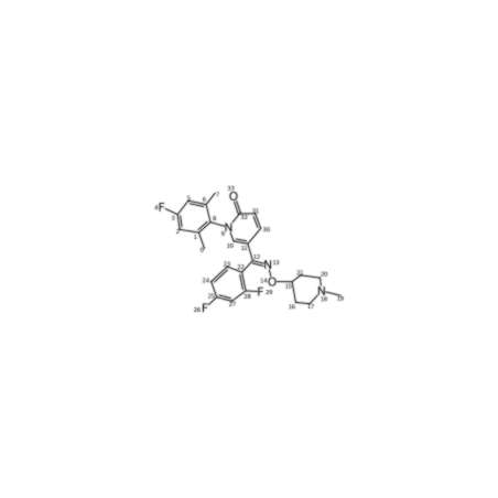 Cc1cc(F)cc(C)c1-n1cc(C(=NOC2CCN(C)CC2)c2ccc(F)cc2F)ccc1=O